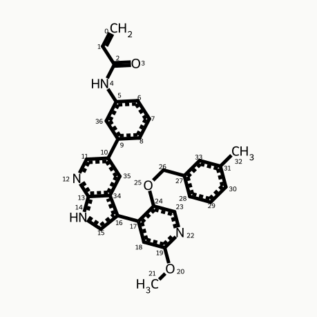 C=CC(=O)Nc1cccc(-c2cnc3[nH]cc(-c4cc(OC)ncc4OCc4cccc(C)c4)c3c2)c1